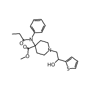 CCC(=O)N(c1ccccc1)C1(C(=O)OC)CCN(CC(O)c2cccs2)CC1